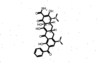 CN(C)c1cc(C(=O)c2ccccc2)c(O)c2c1C[C@H]1C[C@H]3[C@H](N(C)C)C(O)=C(C(N)=O)C(=O)[C@@]3(O)C(O)=C1C2=O